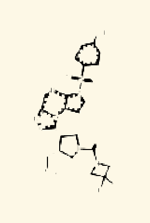 CC[C@H]1CN(C(=O)N2CC(F)(F)C2)C[C@H]1c1nnc2cnc3c(ccn3S(=O)(=O)c3ccc(C)cc3)n12